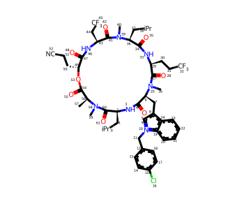 CC(C)C[C@@H]1NC(=O)[C@H](Cc2cn(Cc3ccc(Cl)cc3)c3ccccc23)N(C)C(=O)[C@H](CCC(F)(F)F)NC(=O)[C@H](CC(C)C)N(C)C(=O)[C@H](CC(F)(F)F)NC(=O)[C@@H](CCC#N)OC(=O)[C@H](C)N(C)C1=O